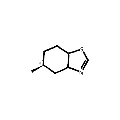 C[C@H]1CCC2SC=NC2C1